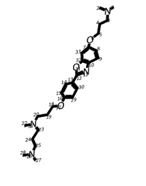 CN(C)CCCOc1ccc2nc(-c3ccc(OCCCN(C)CCCN(C)C)cc3)oc2c1